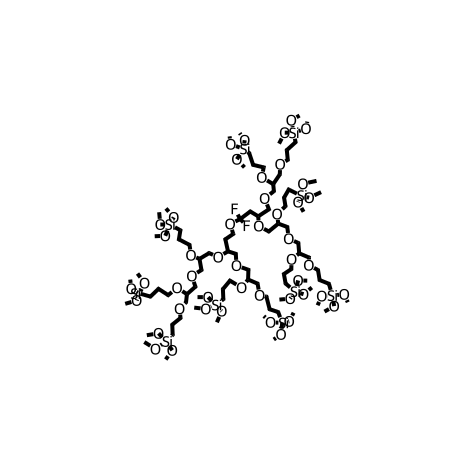 CO[Si](CCCOCC(COCC(CCOC(F)(F)CC(COCC(COCCC[Si](OC)(OC)OC)OCCC[Si](OC)(OC)OC)OCC(COCC(COCCC[Si](OC)(OC)OC)OCCC[Si](OC)(OC)OC)OCCC[Si](OC)(OC)OC)OCC(COCC(COCCC[Si](OC)(OC)OC)OCCC[Si](OC)(OC)OC)OCCC[Si](OC)(OC)OC)OCCC[Si](OC)(OC)OC)(OC)OC